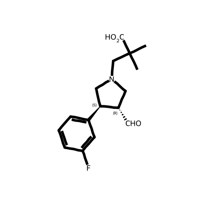 CC(C)(CN1C[C@H](c2cccc(F)c2)[C@@H](C=O)C1)C(=O)O